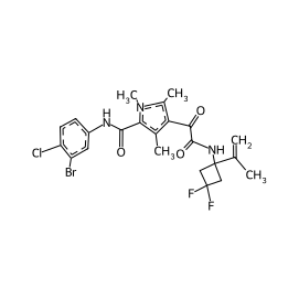 C=C(C)C1(NC(=O)C(=O)c2c(C)c(C(=O)Nc3ccc(Cl)c(Br)c3)n(C)c2C)CC(F)(F)C1